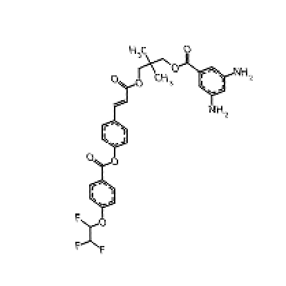 CC(C)(COC(=O)C=Cc1ccc(OC(=O)c2ccc(OC(F)C(F)F)cc2)cc1)COC(=O)c1cc(N)cc(N)c1